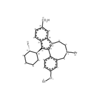 CCOc1ccc2c(c1)CN(C(C)C)CCn1c-2c([C@H]2CCCC[C@@H]2F)c2ccc(C(=O)O)cc21